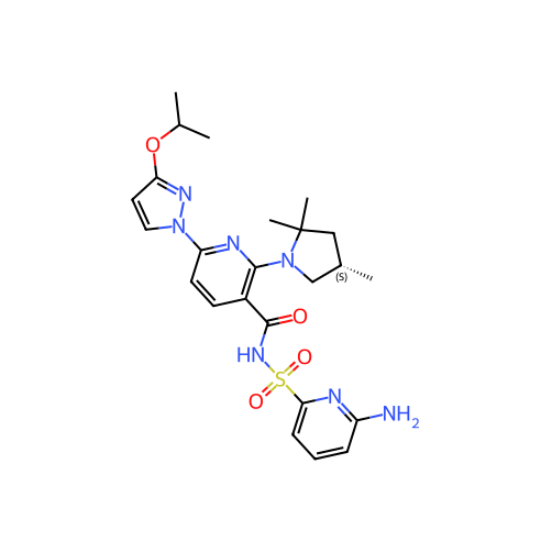 CC(C)Oc1ccn(-c2ccc(C(=O)NS(=O)(=O)c3cccc(N)n3)c(N3C[C@@H](C)CC3(C)C)n2)n1